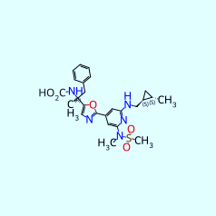 C[C@H]1C[C@@H]1CNc1cc(-c2ncc([C@@](C)(Cc3ccccc3)NC(=O)O)o2)cc(N(C)S(C)(=O)=O)n1